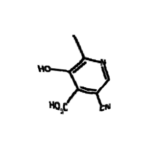 Cc1ncc(C#N)c(C(=O)O)c1O